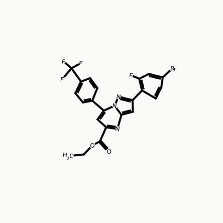 CCOC(=O)c1cc(-c2ccc(C(F)(F)F)cc2)n2nc(-c3ccc(Br)cc3F)cc2n1